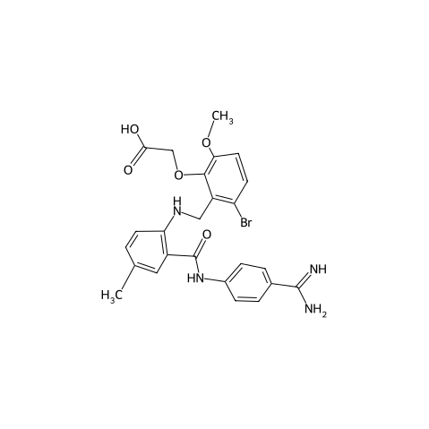 COc1ccc(Br)c(CNc2ccc(C)cc2C(=O)Nc2ccc(C(=N)N)cc2)c1OCC(=O)O